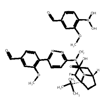 COc1cc(C=O)ccc1-c1ccc(N(C)[C@H]2C[C@@H]3CC[C@@](C(C)(C)C)([C@H]2F)N3C(=O)O)nn1.COc1cc(C=O)ccc1B(O)O